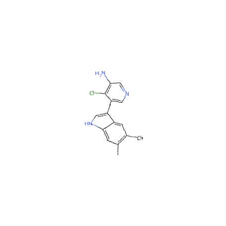 Cc1cc2[nH]cc(-c3cncc(N)c3Cl)c2cc1C#N